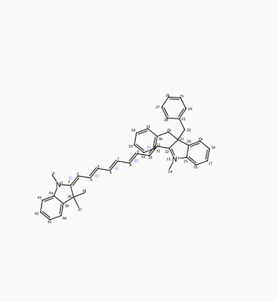 CN1/C(=C/C=C/C=C/C=C/C=C/C2=[N+](C)c3ccccc3C2(Cc2ccccc2)Cc2ccccc2)C(C)(C)c2ccccc21